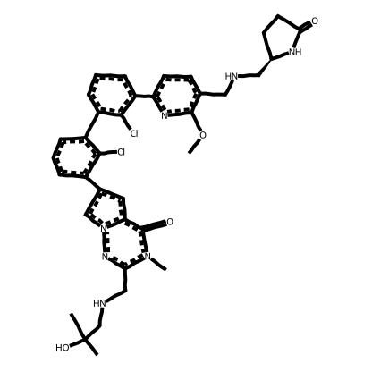 COc1nc(-c2cccc(-c3cccc(-c4cc5c(=O)n(C)c(CNCC(C)(C)O)nn5c4)c3Cl)c2Cl)ccc1CNC[C@H]1CCC(=O)N1